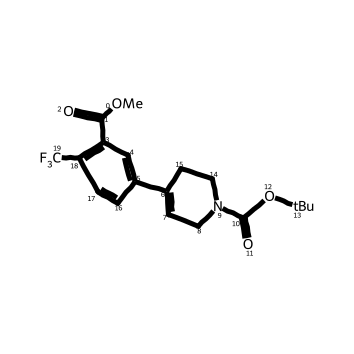 COC(=O)c1cc(C2=CCN(C(=O)OC(C)(C)C)CC2)ccc1C(F)(F)F